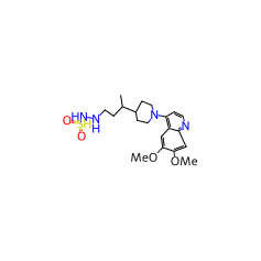 COc1cc2nccc(N3CCC(C(C)CCNN[SH](=O)=O)CC3)c2cc1OC